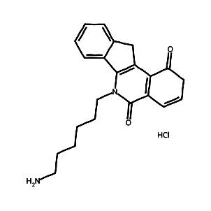 Cl.NCCCCCCn1c2c(c3c(c1=O)C=CCC3=O)Cc1ccccc1-2